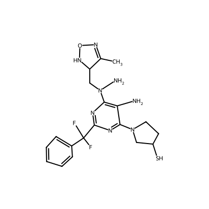 CC1=NONC1CN(N)c1nc(C(F)(F)c2ccccc2)nc(N2CCC(S)C2)c1N